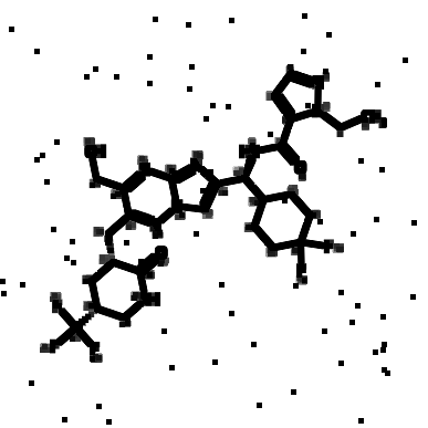 CCn1nccc1C(=O)N[C@H](c1cn2nc(C[C@H]3C[C@@H](C(F)(F)F)CNC3=O)c(CO)nc2n1)C1CCC(F)(F)CC1